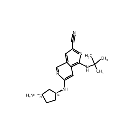 CC(C)(C)Nc1nc(C#N)cc2cnc(N[C@H]3CC[C@H](N)C3)cc12